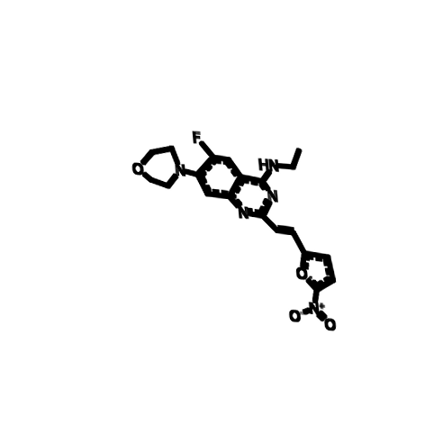 CCNc1nc(/C=C/c2ccc([N+](=O)[O-])o2)nc2cc(N3CCOCC3)c(F)cc12